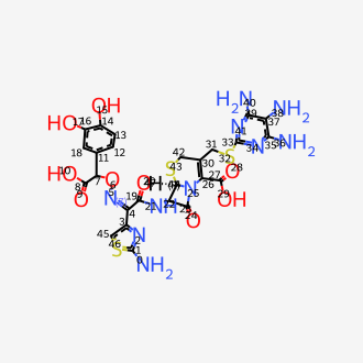 Nc1nc(/C(=N/OC(C(=O)O)c2ccc(O)c(O)c2)C(=O)NC2C(=O)N3C(C(=O)O)=C(CSc4nc(N)c(N)c(N)n4)CS[C@H]23)cs1